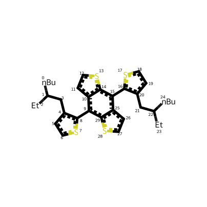 CCCCC(CC)Cc1ccsc1-c1c2ccsc2c(-c2sccc2CC(CC)CCCC)c2ccsc12